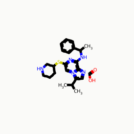 CC(C)c1cnc2c(NC(C)c3ccccc3)nc(SC3CCCNC3)cn12.O=CO